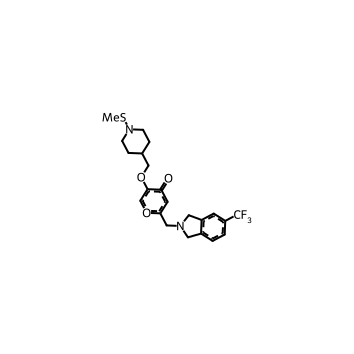 CSN1CCC(COc2coc(CN3Cc4ccc(C(F)(F)F)cc4C3)cc2=O)CC1